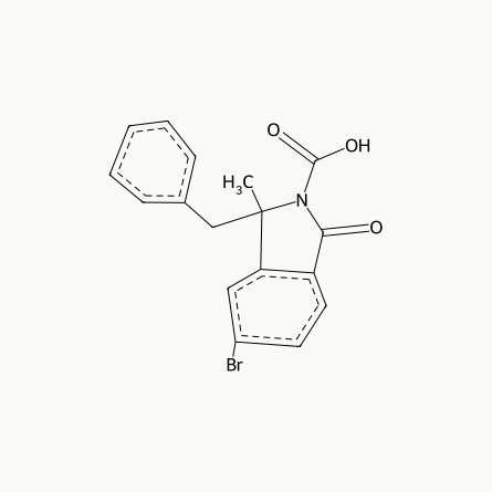 CC1(Cc2ccccc2)c2cc(Br)ccc2C(=O)N1C(=O)O